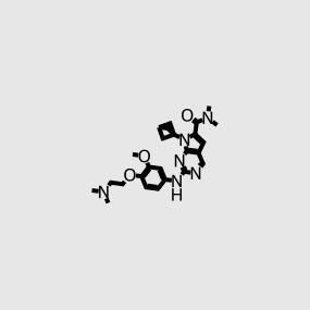 COc1cc(Nc2ncc3cc(C(=O)N(C)C)n(C45CC(C4)C5)c3n2)ccc1OCCN(C)C